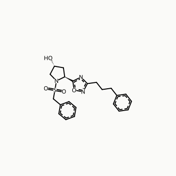 O=S(=O)(Cc1ccccc1)N1C[C@H](O)C[C@H]1c1nc(CCCc2ccccc2)no1